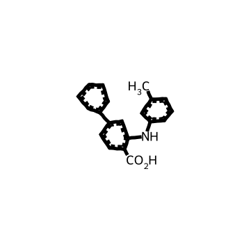 Cc1cccc(Nc2cc(-c3ccccc3)ccc2C(=O)O)c1